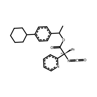 CC(OC(=O)[C@](N=C=O)(c1ccccn1)C(C)C)c1ccc(C2CCCCC2)cc1